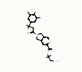 COCC(C)(C)NC(=O)c1cc2c(cn1)CN(C1=NOC(c3cc(Cl)c(F)c(Cl)c3)(C(F)(F)F)C1)C2